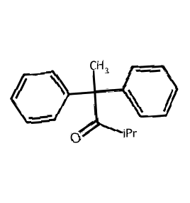 CC(C)C(=O)C(C)(c1ccccc1)c1ccccc1